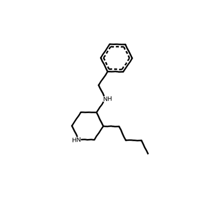 CCCCC1CNCCC1NCc1ccccc1